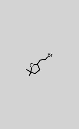 CC1(C)CCC(CCBr)O1